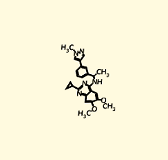 COc1cc2nc(C3CC3)nc(N[C@H](C)c3cccc(-c4cnn(C)c4)c3)c2cc1OC